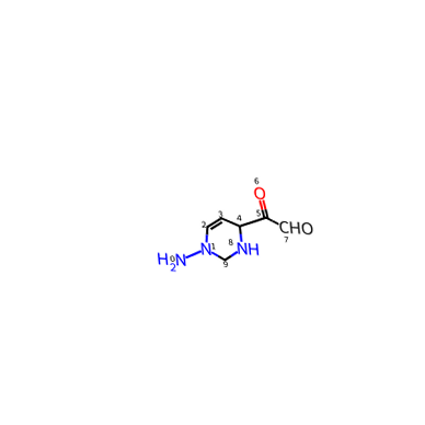 NN1C=CC(C(=O)C=O)NC1